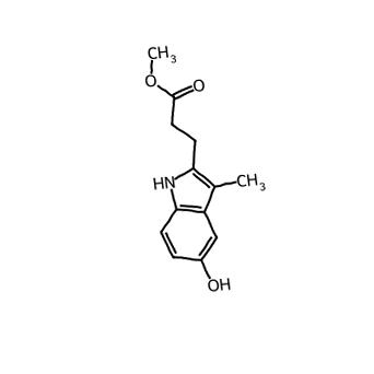 COC(=O)CCc1[nH]c2ccc(O)cc2c1C